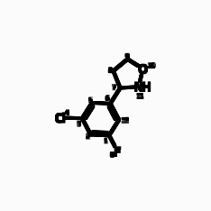 Fc1cc(Cl)cc(C2CCON2)c1